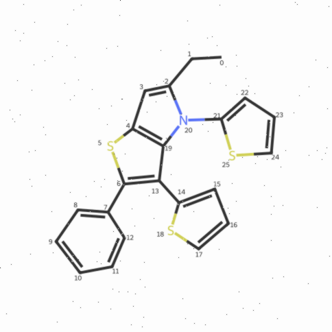 CCc1cc2sc(-c3ccccc3)c(-c3cccs3)c2n1-c1cccs1